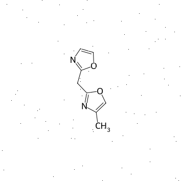 Cc1coc(Cc2ncco2)n1